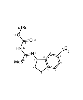 CS/C(=N\C1CCc2ccc(N)cc21)NC(=O)OC(C)(C)C